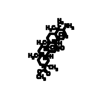 COC(=O)[C@@]1(C)CC[C@]2(C)CC[C@]3(C)C(=CC(=O)[C@@H]4[C@@]5(C)CCC(N)C(C)(C)C5CC[C@]43C)[C@@H]2C1